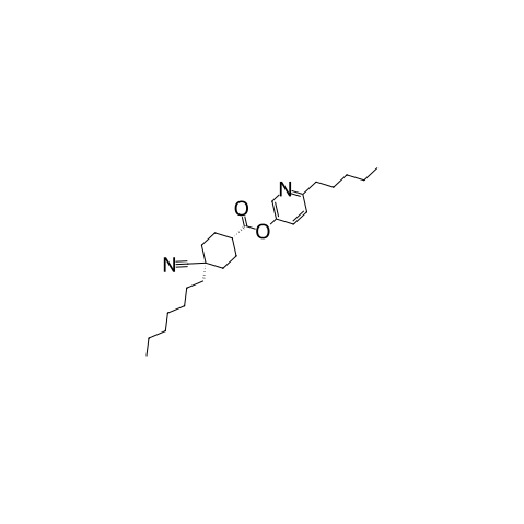 CCCCCCC[C@]1(C#N)CC[C@H](C(=O)Oc2ccc(CCCCC)nc2)CC1